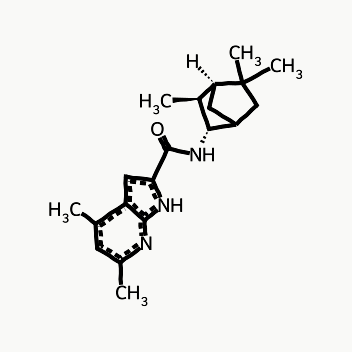 Cc1cc(C)c2cc(C(=O)N[C@H]3C4C[C@@H]([C@@H]3C)C(C)(C)C4)[nH]c2n1